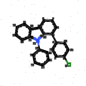 Clc1ccc(-c2cccc3c4ccccc4n(-c4ccccc4)c23)cc1